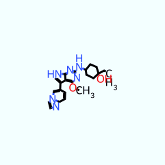 CCC1(O)CCC(Nc2nc(OC)c3c(-c4ccc5nccn5c4)c[nH]c3n2)CC1